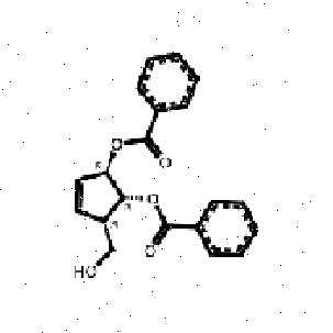 O=C(O[C@@H]1[C@@H](CO)C=C[C@H]1OC(=O)c1ccccc1)c1ccccc1